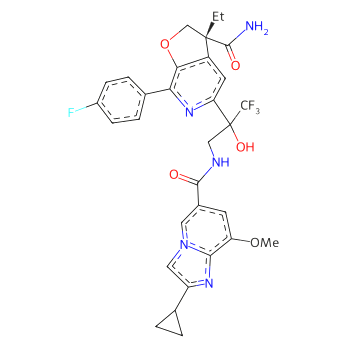 CC[C@]1(C(N)=O)COc2c1cc(C(O)(CNC(=O)c1cc(OC)c3nc(C4CC4)cn3c1)C(F)(F)F)nc2-c1ccc(F)cc1